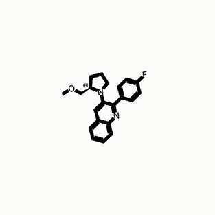 COC[C@H]1CCCN1c1cc2ccccc2nc1-c1ccc(F)cc1